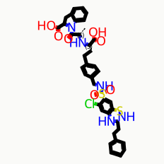 C[C@H](N[C@@H](CCc1ccc(CNS(=O)(=O)c2cc3c(cc2Cl)NC(CCc2ccccc2)NS3)cc1)C(=O)O)C(=O)N1c2ccccc2CC1C(=O)O